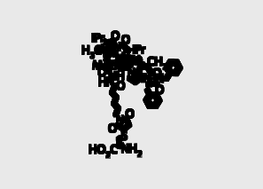 CC[C@H](C)[C@@H]([C@@H](CC(=O)N1CCC[C@H]1[C@H](OC)[C@@H](C)C(=O)N[C@@H](Cc1ccccc1)C(=O)NCc1ccccc1)OC)N(C)[C@H](C(=O)NC(=O)[C@H](C(C)C)N(C)CCCC(=O)NNC(=O)CCCCCN1C(=O)CC(SC[C@H](N)C(=O)O)C1=O)C(C)C